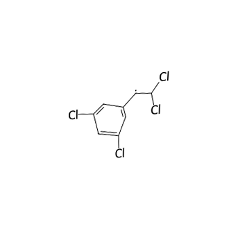 Clc1cc(Cl)cc([CH]C(Cl)Cl)c1